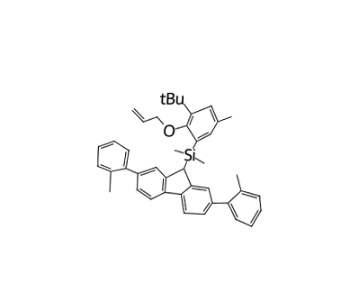 C=CCOc1c(C(C)(C)C)cc(C)cc1[Si](C)(C)C1c2cc(-c3ccccc3C)ccc2-c2ccc(-c3ccccc3C)cc21